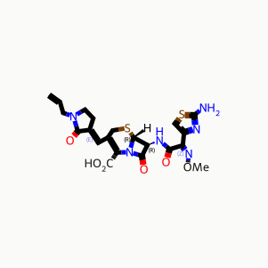 C=CCN1CC/C(=C\C2=C(C(=O)O)N3C(=O)[C@@H](NC(=O)/C(=N\OC)c4csc(N)n4)[C@H]3SC2)C1=O